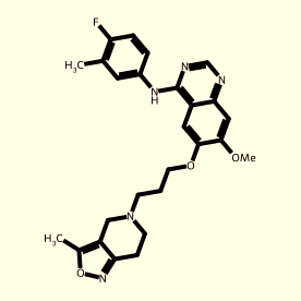 COc1cc2ncnc(Nc3ccc(F)c(C)c3)c2cc1OCCCN1CCc2noc(C)c2C1